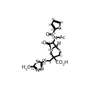 CC(=O)N(C1C(=O)N2CC(CSc3nnc(C)s3)(C(=O)O)CS[C@H]12)[S+]([O-])c1cccs1